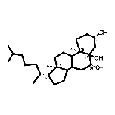 CC(C)CCCC(C)[C@H]1CCC2C3C[C@@H](O)[C@@]4(O)C[C@@H](O)CC[C@]4(C)C3CC[C@@]21C